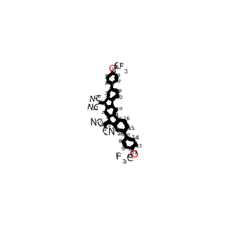 N#CC(C#N)=C1c2cc(-c3ccc(OC(F)(F)F)cc3)ccc2-c2cc3c(cc21)C(=C(C#N)C#N)c1cc(-c2ccc(OC(F)(F)F)cc2)ccc1-3